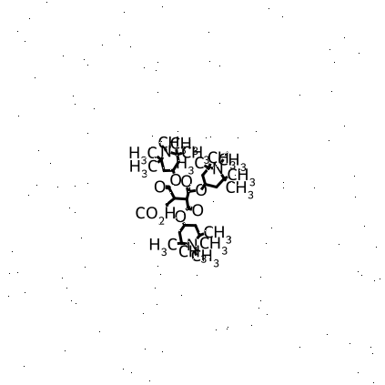 CN1C(C)(C)CC(OC(=O)C(CC(=O)O)C(C(=O)OC2CC(C)(C)N(C)C(C)(C)C2)C(=O)OC2CC(C)(C)N(C)C(C)(C)C2)CC1(C)C